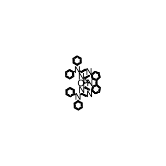 O=P(c1cncc(N(c2ccccc2)c2ccccc2)n1)(c1cncc(N(c2ccccc2)c2ccccc2)n1)n1c2ccccc2c2ccccc21